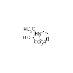 C1COCCN1.O=C(O)CC(O)C(=O)O